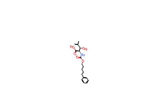 CC(C)[C@@H](O)[C@@H](NC(=O)OCCCCCc1ccccc1)C(=O)O